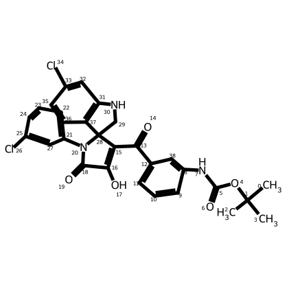 CC(C)(C)OC(=O)Nc1cccc(C(=O)C2=C(O)C(=O)N(c3cccc(Cl)c3)C23CNc2cc(Cl)ccc23)c1